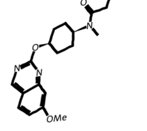 COCC(=O)N(C)[C@H]1CC[C@@H](Oc2ncc3ccc(OC)cc3n2)CC1